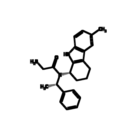 BCC(=O)N([C@@H](C)c1ccccc1)[C@H]1CCCc2c1[nH]c1ccc(C)cc21